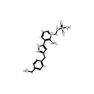 Nc1c(-c2cc(Cc3ccc(CO)cc3)no2)ccc[n+]1COP(=O)([O-])O